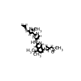 CC(C)c1ccc(N2CC(C[S+](C)[O-])C2)c2cnc(Nc3ccnc(-c4cc(SC5CC5)nn4C)n3)cc12